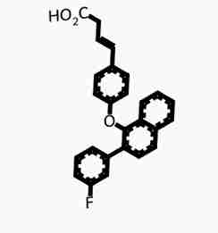 O=C(O)C/C=C/c1ccc(Oc2c(-c3cccc(F)c3)ccc3ccccc23)cc1